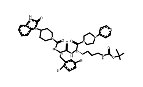 CC(C)(C)OC(=O)NCCCC[C@H](NC(=O)[C@@H](Cc1cc(Br)ccc1Br)NC(=O)N1CCC(n2c(=O)[nH]c3ccccc32)CC1)C(=O)N1CCN(c2ccncc2)CC1